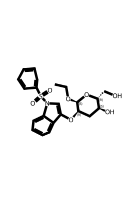 CCO[C@H]1O[C@H](CO)[C@@H](O)C[C@H]1Oc1cn(S(=O)(=O)c2ccccc2)c2ccccc12